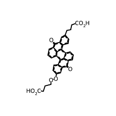 O=C(O)CCCOOc1ccc2c(c1)c(=O)c1cccc3c1c2c1cccc2c(=O)c4cc(CCCC(=O)O)ccc4c3c21